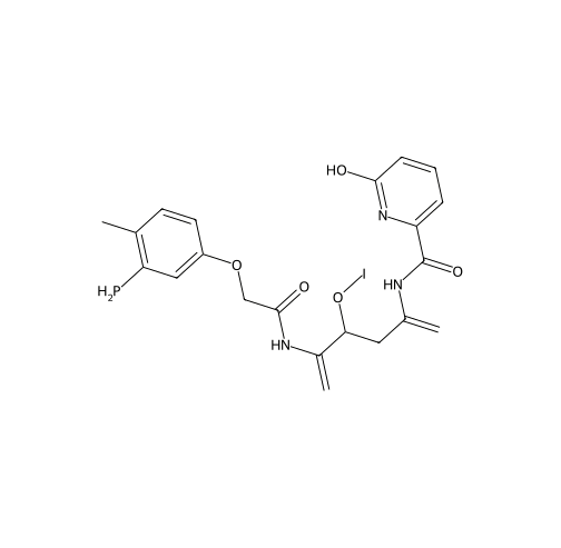 C=C(CC(OI)C(=C)NC(=O)COc1ccc(C)c(P)c1)NC(=O)c1cccc(O)n1